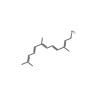 CC(C)=CC=CC(C)=CC=CC(C)=CCP